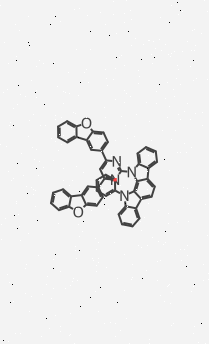 c1ccc(-n2c3ccccc3c3ccc4c5ccccc5n(-c5nc(-c6ccc7oc8ccccc8c7c6)cc(-c6ccc7oc8ccccc8c7c6)n5)c4c32)cc1